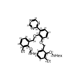 CCCCCCOc1c(CC)cccc1COc1cccc(-c2ncncn2)c1OCc1cccc(CC)c1OCCCCCC